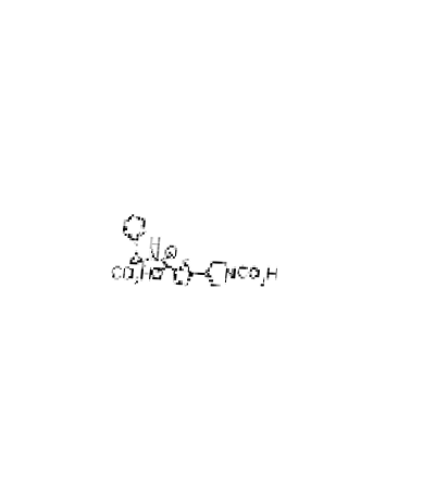 O=C(O)N1CC=C(c2ccc(S(=O)(=O)N[C@@]3(C(=O)O)C[C@@H]3c3ccccc3)s2)CC1